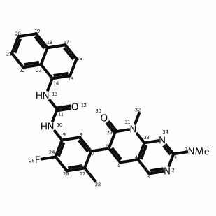 CNc1ncc2cc(-c3cc(NC(=O)Nc4cccc5ccccc45)c(F)cc3C)c(=O)n(C)c2n1